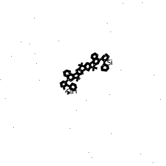 Cc1cccc(-c2cc3c(c4ccccc24)-c2cc4c(cc2C3(C)C)-c2cc3c(cc2C4(C)C)-c2c(cc(-c4cccc5c4-c4ccccc4[Si]5(C)C)c4ccccc24)C3(C)C)c1-c1ccccc1[SiH](C)C